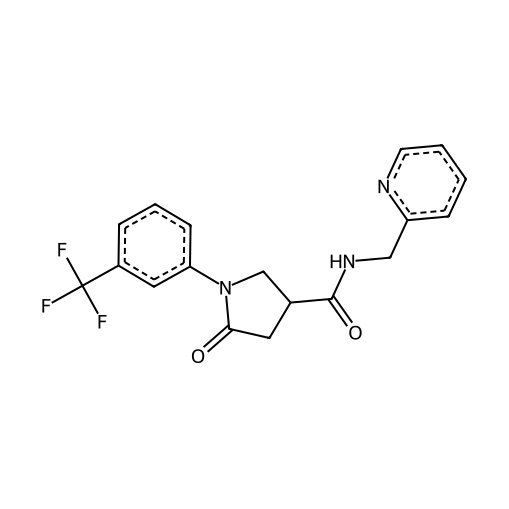 O=C(NCc1ccccn1)C1CC(=O)N(c2cccc(C(F)(F)F)c2)C1